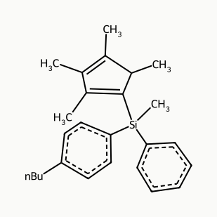 CCCCc1ccc([Si](C)(C2=C(C)C(C)=C(C)C2C)c2ccccc2)cc1